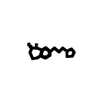 O=C1CCCc2ccc(CCCN3CCCC3)cc2N1